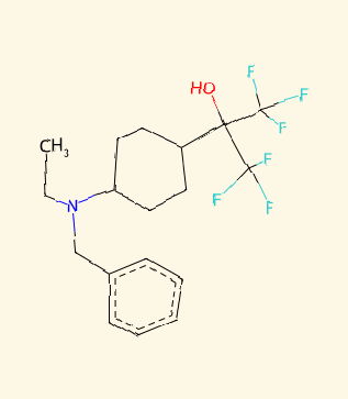 CCN(Cc1ccccc1)C1CCC(C(O)(C(F)(F)F)C(F)(F)F)CC1